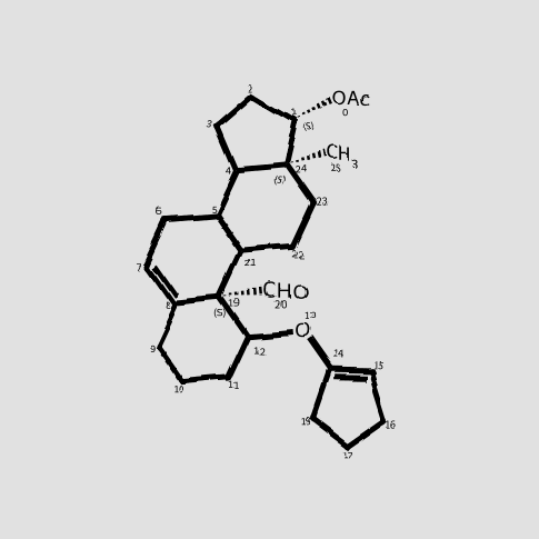 CC(=O)O[C@H]1CCC2C3CC=C4CCCC(OC5=CCCC5)[C@]4(C=O)C3CC[C@@]21C